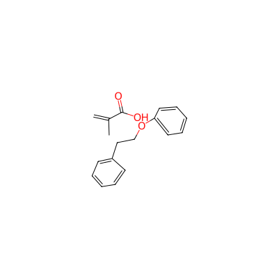 C=C(C)C(=O)O.c1ccc(CCOc2ccccc2)cc1